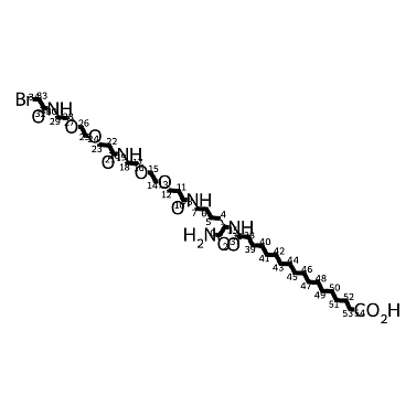 NC(=O)[C@H](CCCCNC(=O)CCOCCOCCNC(=O)CCOCCOCCNC(=O)CBr)NC(=O)CCCCCCCCCCCCCCCCC(=O)O